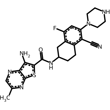 Cc1cnc2c(N)c(C(=O)NC3CCc4c(C#N)c(N5CCNCC5)cc(F)c4C3)sc2n1